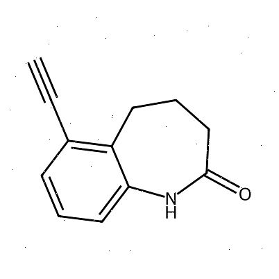 C#Cc1cccc2c1CCCC(=O)N2